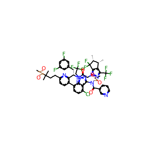 C[C@@H]1c2c(C(F)(F)F)nn(CC(=O)N[C@@H](Cc3cc(F)cc(F)c3)c3nc(CCC(C)(C)S(C)(=O)=O)ccc3-c3ccc(Cl)c4c(N(C(=O)c5cccnc5)S(C)(=O)=O)nn(CC(F)(F)F)c34)c2C(F)(F)[C@@H]1C